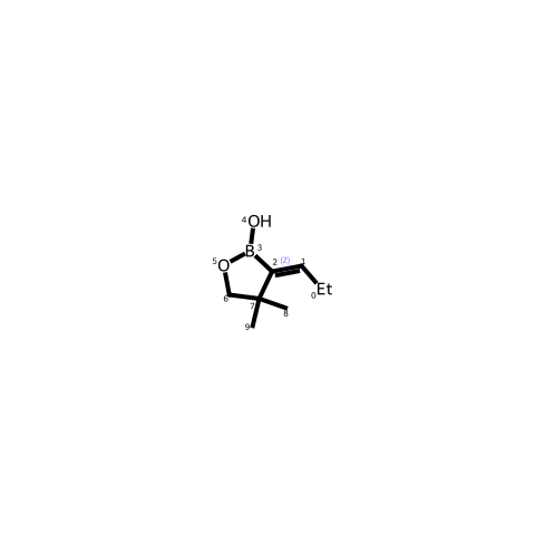 CC/C=C1/B(O)OCC1(C)C